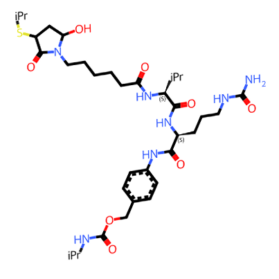 CC(C)NC(=O)OCc1ccc(NC(=O)[C@H](CCCNC(N)=O)NC(=O)[C@@H](NC(=O)CCCCCN2C(=O)C(SC(C)C)CC2O)C(C)C)cc1